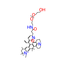 C=C/C(C1=c2cc3c(cc2C(C)(C)c2c1cc1c4c2CCCN4CCC1)=[N+](CC)C(C)(C)CC3C)=C(\C=C/C)C(=O)N(C)CCCC(=O)NCCCOC(C)(C)OCCCO